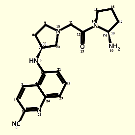 N#Cc1ccc2c(N[C@H]3CCN(CC(=O)N4CCC[C@H]4N)C3)cccc2n1